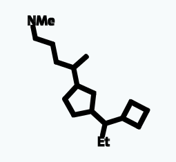 CCC(C1CCC1)C1CCC(C(C)CCCNC)C1